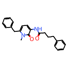 Cn1c(Cc2ccccc2)ccc(NC(=O)CCCc2ccccc2)c1=O